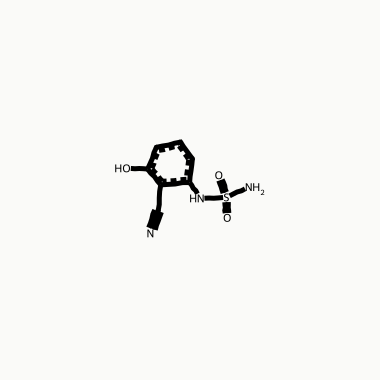 N#Cc1c(O)cccc1NS(N)(=O)=O